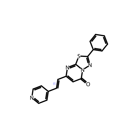 O=c1cc(/C=C/c2ccncc2)nc2sc(-c3ccccc3)nn12